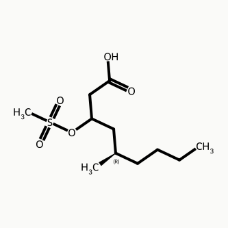 CCCC[C@@H](C)CC(CC(=O)O)OS(C)(=O)=O